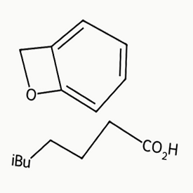 CCC(C)CCCC(=O)O.c1ccc2c(c1)CO2